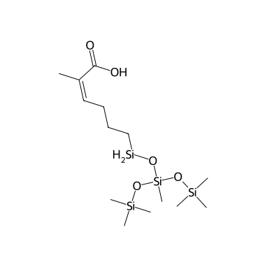 CC(=CCCC[SiH2]O[Si](C)(O[Si](C)(C)C)O[Si](C)(C)C)C(=O)O